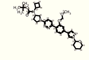 COCOc1cc(-c2cnn(C3CCCCO3)c2)ccc1-c1ccc(N2CC[C@H](N(C(=O)OC(C)(C)C)C3CCC3)C2)nn1